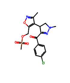 Cc1noc(COS(C)(=O)=O)c1C1CN(C)N=C1C(=O)c1ccc(Cl)cc1